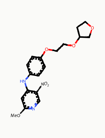 COc1cc(Nc2ccc(OCCOC3CCOC3)cc2)c([N+](=O)[O-])cn1